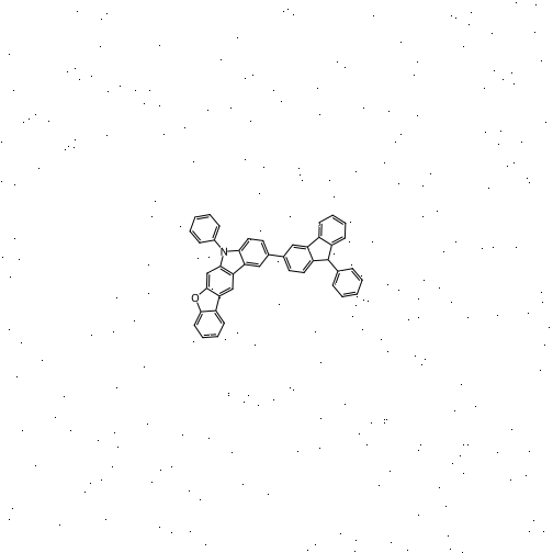 c1ccc(C2c3ccccc3-c3cc(-c4ccc5c(c4)c4cc6c(cc4n5-c4ccccc4)oc4ccccc46)ccc32)cc1